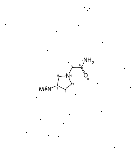 CNC1CCN(CC(N)=O)C1